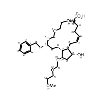 COCCOCO[C@@H](CCc1ccccc1)CC[C@@H]1[C@@H](C/C=C\CCCC(=O)O)[C@H](O)C[C@H]1OCOCCOC